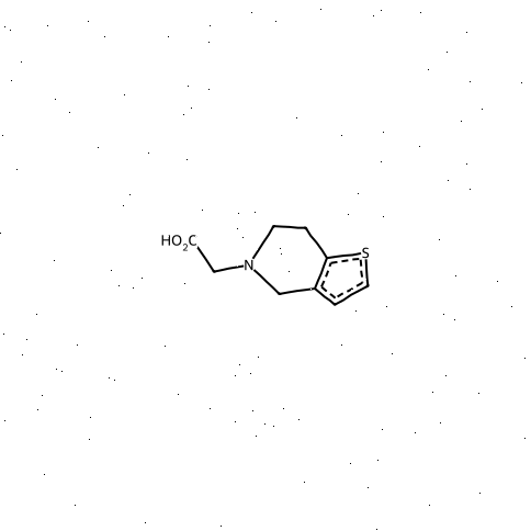 O=C(O)CN1CCc2sccc2C1